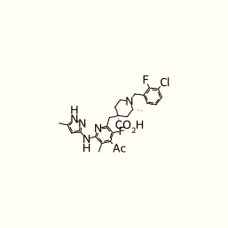 CC(=O)c1c(C)c(Nc2cc(C)[nH]n2)nc(C[C@@]2(C(=O)O)CCN(Cc3cccc(Cl)c3F)[C@H](C)C2)c1F